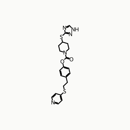 O=C(Oc1ccc(CCSc2ccncc2)cc1)N1CCC(Sc2nc[nH]n2)CC1